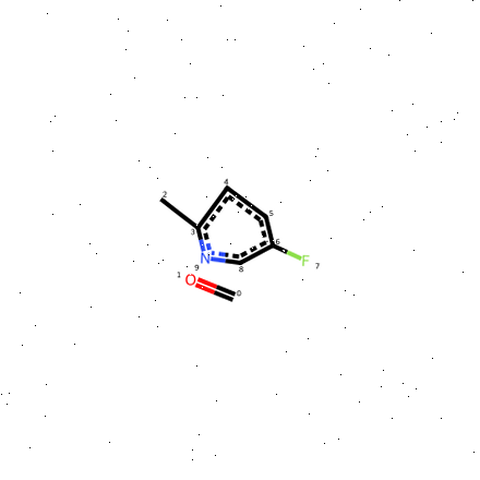 C=O.Cc1ccc(F)cn1